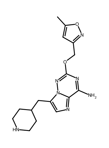 Cc1cc(COc2nc(N)c3ncc(CC4CCNCC4)n3n2)no1